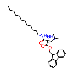 CCCCCCCCCCCCNC(=O)[C@@](N)(CC(C)C)C(=O)OCC1c2ccccc2-c2ccccc21